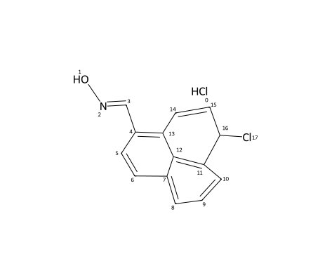 Cl.ON=Cc1ccc2cccc3c2c1C=CC3Cl